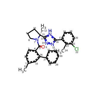 Cc1ccc(C(=O)N2CCC[C@@]2(C)c2nnc(-c3cccc(Cl)c3C)[nH]2)c(-c2ccccc2)c1